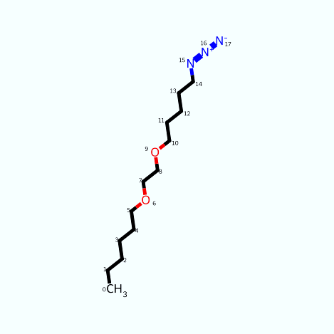 CCCCCCOCCOCCCCCN=[N+]=[N-]